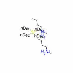 CCCCCCCCCC[S-2](CCCCCCCCCC)(CCCCCCCCCC)CCCCCCCCCC.CCCC[NH2+]C.CCCC[NH2+]C